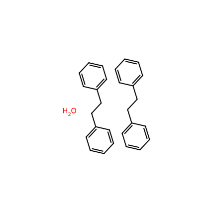 O.c1ccc(CCc2ccccc2)cc1.c1ccc(CCc2ccccc2)cc1